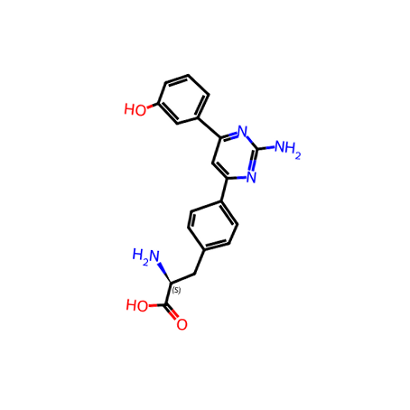 Nc1nc(-c2ccc(C[C@H](N)C(=O)O)cc2)cc(-c2cccc(O)c2)n1